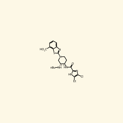 CCCCN[C@@H]1CN(c2nc3cccc(C(=O)O)c3s2)CC[C@H]1NC(=O)c1nc(Cl)c(CC)[nH]1